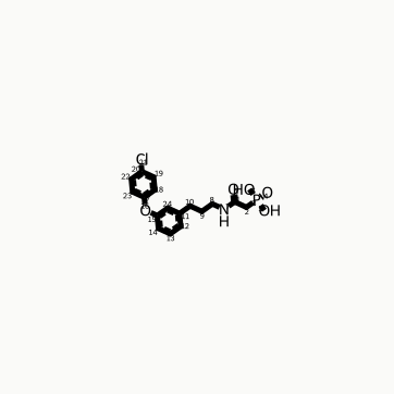 O=C(CP(=O)(O)O)NCCCc1cccc(Oc2ccc(Cl)cc2)c1